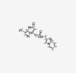 CC(C)c1cnn2c(OC(=O)NCc3cn4ccccc4n3)cc(Cl)nc12